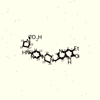 CCc1cc2ncc(CN3CCN(c4ccc(N[C@@H]5CCN(C(=O)O)C5)nc4)CC3)cc2[nH]c1=O